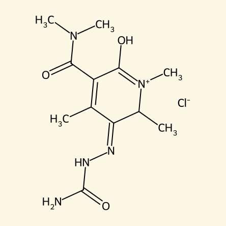 CC1=C(C(=O)N(C)C)C(O)=[N+](C)C(C)C1=NNC(N)=O.[Cl-]